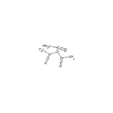 C#CC(=O)O.O=C(OC(=O)C(F)(F)F)C(F)(F)F